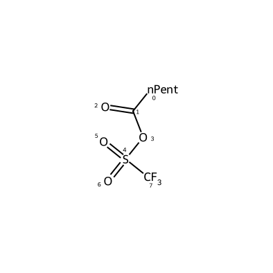 CCCCCC(=O)OS(=O)(=O)C(F)(F)F